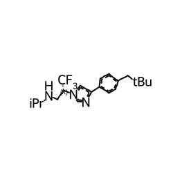 CC(C)NC[C@@H](n1cnc(-c2ccc(CC(C)(C)C)cc2)c1)C(F)(F)F